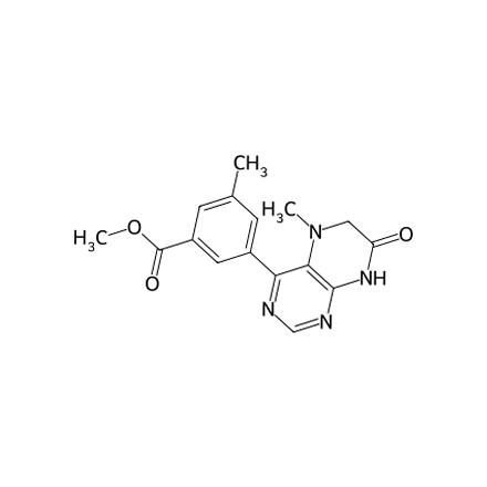 COC(=O)c1cc(C)cc(-c2ncnc3c2N(C)CC(=O)N3)c1